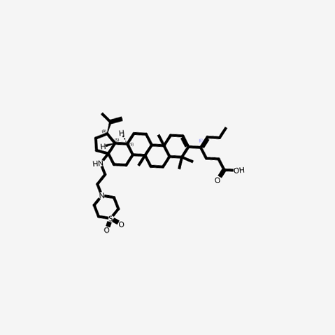 C=C(C)[C@@H]1CCC2(NCCN3CCS(=O)(=O)CC3)CCC3[C@H](CCC4C3(C)CCC3C(C)(C)C(/C(=C/CC)CCC(=O)O)=CCC34C)[C@@H]12